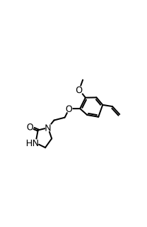 C=Cc1ccc(OCCN2CCNC2=O)c(OC)c1